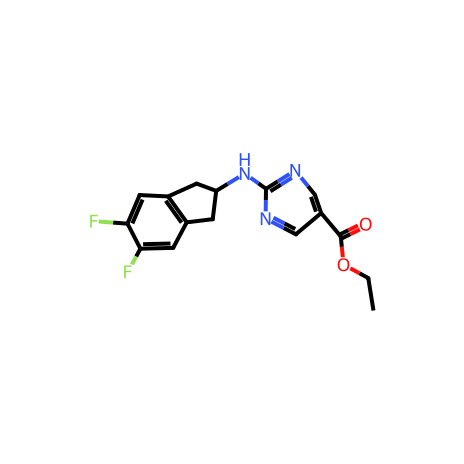 CCOC(=O)c1cnc(NC2Cc3cc(F)c(F)cc3C2)nc1